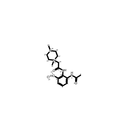 CC(=O)Nc1cccc(O)c1NC(=O)C[N+]1(C)CCN(C)CC1.[Cl-]